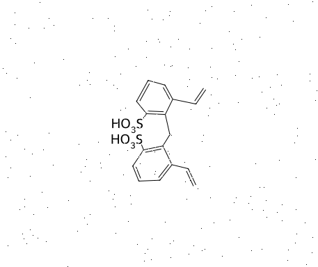 C=Cc1cccc(S(=O)(=O)O)c1Cc1c(C=C)cccc1S(=O)(=O)O